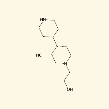 Cl.OCCN1CCN(C2CCNCC2)CC1